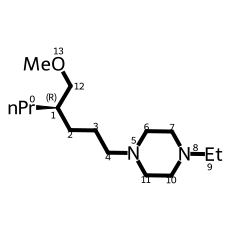 CCC[C@H](CCCN1CCN(CC)CC1)COC